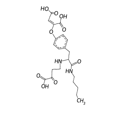 CCCCCNC(=O)C(Cc1ccc(OC(=CC(=O)O)C(=O)O)cc1)NCCC(=O)C(=O)O